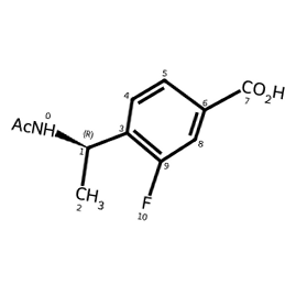 CC(=O)N[C@H](C)c1ccc(C(=O)O)cc1F